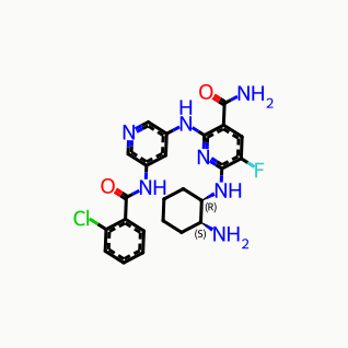 NC(=O)c1cc(F)c(N[C@@H]2CCCC[C@@H]2N)nc1Nc1cncc(NC(=O)c2ccccc2Cl)c1